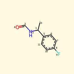 [CH2]C(NC=O)c1ccc(F)cc1